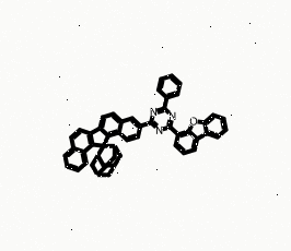 c1ccc(-c2nc(-c3ccc4c5c(ccc4c3)-c3ccc4ccccc4c3C53C4CC5CC(C4)CC3C5)nc(-c3cccc4c3oc3ccccc34)n2)cc1